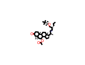 CCC[C@H](/C=C/[C@@H](C)[C@H]1CCC2C3C(CC[C@@]21C)[C@@]1(C)CCC(=O)C[C@@H]1C[C@H]3OC(C)=O)CO[Si](C)(C)C(C)(C)C